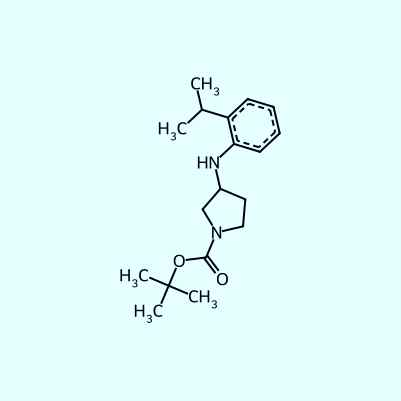 CC(C)c1ccccc1NC1CCN(C(=O)OC(C)(C)C)C1